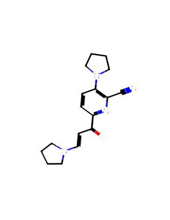 N#Cc1nc(C(=O)/C=C/N2CCCC2)ccc1N1CCCC1